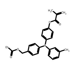 C=C(C)C(=O)Oc1ccc(N(c2ccc(COC(=O)CC)cc2)c2cccc(C)c2)cc1